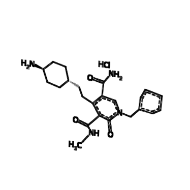 CNC(=O)c1c(CC[C@H]2CC[C@H](N)CC2)c(C(N)=O)cn(Cc2ccccc2)c1=O.Cl